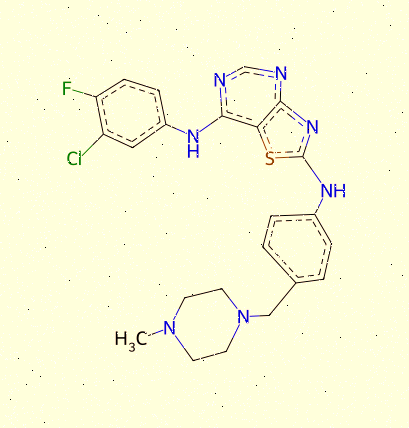 CN1CCN(Cc2ccc(Nc3nc4ncnc(Nc5ccc(F)c(Cl)c5)c4s3)cc2)CC1